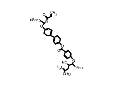 C=CC(=O)OC(CCCCC)OC1=CC=C(C2=CC=C(OC(=O)c3ccc(OC(CCCCCC)C(O)CC(=C)C=O)cc3)CC2)CC1